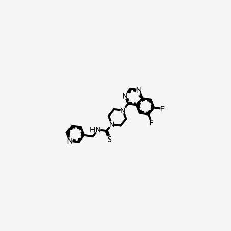 Fc1cc2ncnc(N3CCN(C(=S)NCc4cccnc4)CC3)c2cc1F